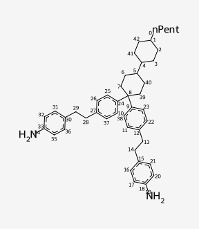 CCCCCC1CCC(C2CCC(c3ccc(CCc4ccc(N)cc4)cc3)(c3ccc(CCc4ccc(N)cc4)cc3)CC2)CC1